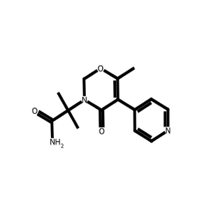 CC1=C(c2ccncc2)C(=O)N(C(C)(C)C(N)=O)CO1